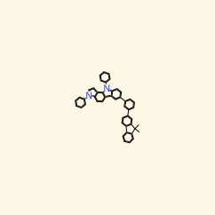 CC1(C)c2ccccc2-c2ccc(-c3cccc(-c4ccc5c(c4)c4ccc6c(ccn6-c6ccccc6)c4n5-c4ccccc4)c3)cc21